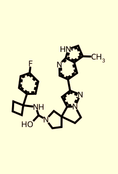 Cc1c[nH]c2ncc(-c3cc4n(n3)CCC43CCN(C(O)NC4(c5ccc(F)cc5)CCC4)C3)cc12